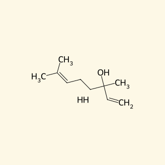 C=CC(C)(O)CCC=C(C)C.[HH]